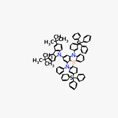 CC(C)(C)c1ccc2c(c1)c1cc(C(C)(C)C)ccc1n2-c1cc2c3c(c1)N(c1ccccc1)c1cc([Si](c4ccccc4)(c4ccccc4)c4ccccc4)ccc1B3c1ccccc1N2c1cccc([Si](c2ccccc2)(c2ccccc2)c2ccccc2)c1